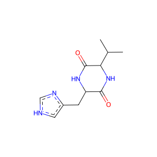 CC(C)C1NC(=O)C(Cc2c[nH]cn2)NC1=O